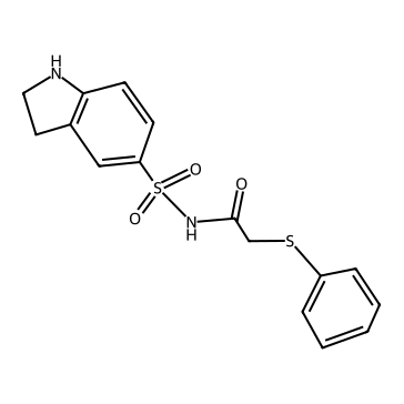 O=C(CSc1ccccc1)NS(=O)(=O)c1ccc2c(c1)CCN2